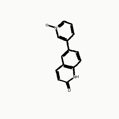 O=c1ccc2cc(-c3ccc[n+]([O-])c3)ccc2[nH]1